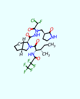 CC[C@H](C)[C@H](NC(=O)C(F)(F)C(F)(F)F)C(=O)N1C[C@@H]2CCC[C@@H]2[C@H]1C(=O)NN(C[C@@H]1CCNC1=O)C(=O)[C@H](F)Cl